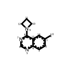 Ic1ccc2ncnc(N3CCC3)c2c1